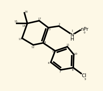 CCCNCC1=C(c2ccc(Cl)cc2)CCC(C)(C)C1